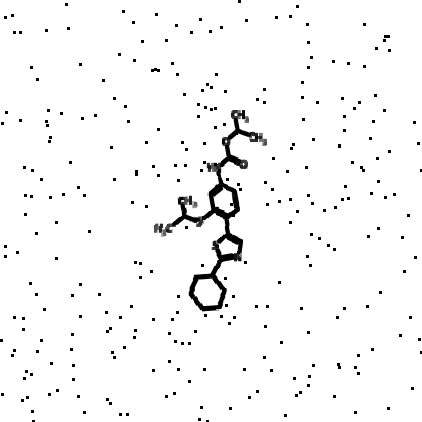 CC(C)OC(=O)Nc1ccc(-c2cnc(C3CCCCC3)s2)c(SC(C)C)c1